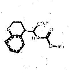 CC(C)(C)OC(=O)NC(C(=O)O)[C@@H]1CCOc2ccccc21